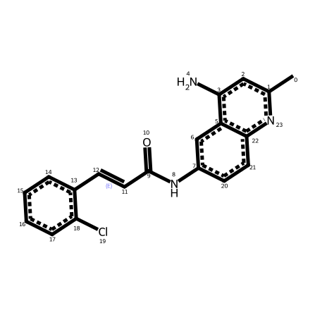 Cc1cc(N)c2cc(NC(=O)/C=C/c3ccccc3Cl)ccc2n1